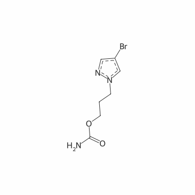 NC(=O)OCCCn1cc(Br)cn1